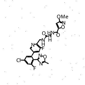 COc1cc(C(=O)NNC(=O)NCc2ncc(-c3cc(Cl)cc(F)c3-c3noc(C)n3)cc2F)on1